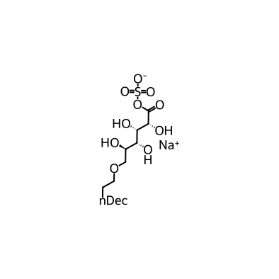 CCCCCCCCCCCCOC[C@@H](O)[C@@H](O)[C@H](O)[C@@H](O)C(=O)OS(=O)(=O)[O-].[Na+]